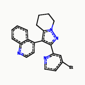 CCc1ccnc(-c2nn3c(c2-c2ccnc4ccccc24)CCCC3)c1